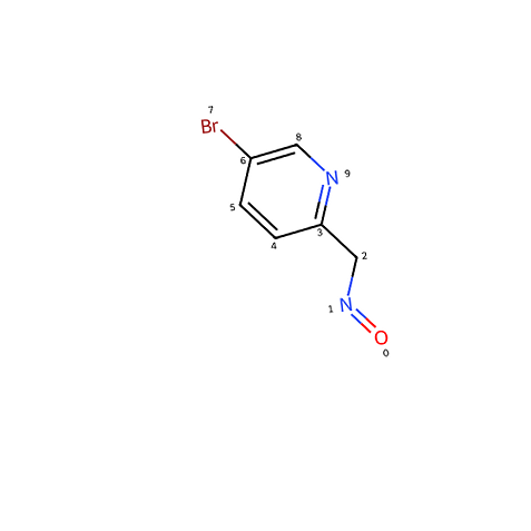 O=NCc1ccc(Br)cn1